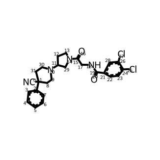 N#CC1(c2ccccc2)CCN(C2CCN(C(=O)CNC(=O)c3ccc(Cl)c(Cl)c3)C2)CC1